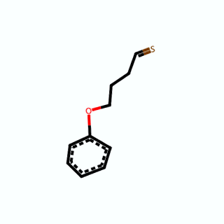 S=CCCCOc1ccccc1